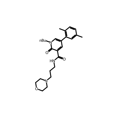 CCCCn1cc(-c2cc(C)ccc2C)cc(C(=O)NCCCN2CCOCC2)c1=O